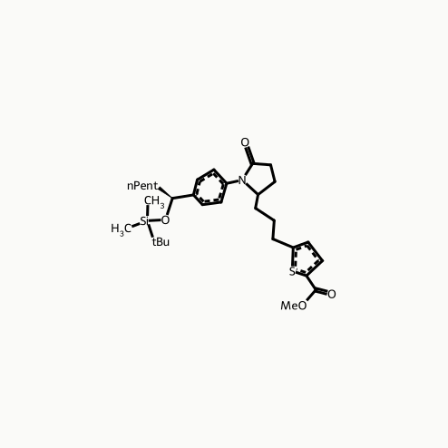 CCCCC[C@H](O[Si](C)(C)C(C)(C)C)c1ccc(N2C(=O)CCC2CCCc2ccc(C(=O)OC)s2)cc1